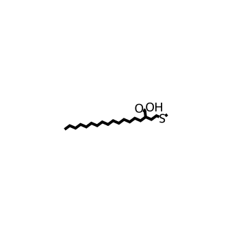 CCCCCCCCCCCCCCCC(CCSC)C(=O)O